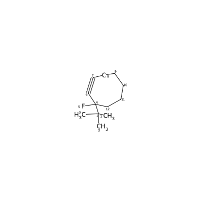 CC(C)(C)C1(F)C#CCCCCC1